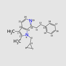 Cc1c(C)n(CC2CC2)c2c(CCc3ccccc3)nccc12